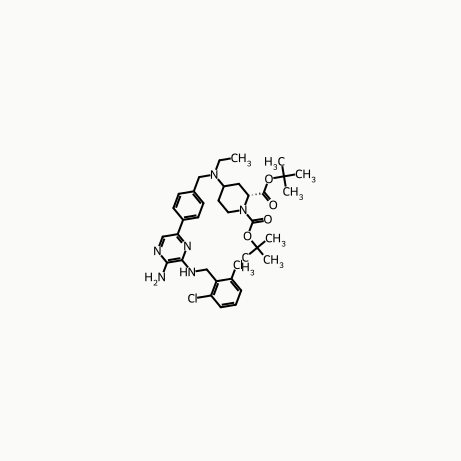 CCN(Cc1ccc(-c2cnc(N)c(NCc3c(Cl)cccc3Cl)n2)cc1)C1CCN(C(=O)OC(C)(C)C)[C@@H](C(=O)OC(C)(C)C)C1